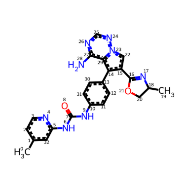 Cc1ccnc(NC(=O)Nc2ccc(-c3c(C4=NC(C)CO4)cn4ncnc(N)c34)cc2)c1